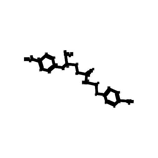 CC(=O)Oc1ccc(CONC(=O)CCC(Cc2ccc(C(=O)O)cc2)C(=O)O)cc1